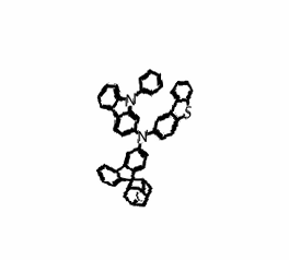 c1ccc(-n2c3ccccc3c3ccc(N(c4ccc5c(c4)-c4ccccc4C54C5CCC6CC(C5)CC4C6)c4ccc5sc6ccccc6c5c4)cc32)cc1